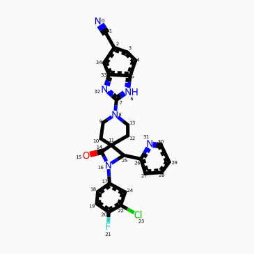 N#Cc1ccc2[nH]c(N3CCC4(CC3)C(=O)N(c3ccc(F)c(Cl)c3)C4c3ccccn3)nc2c1